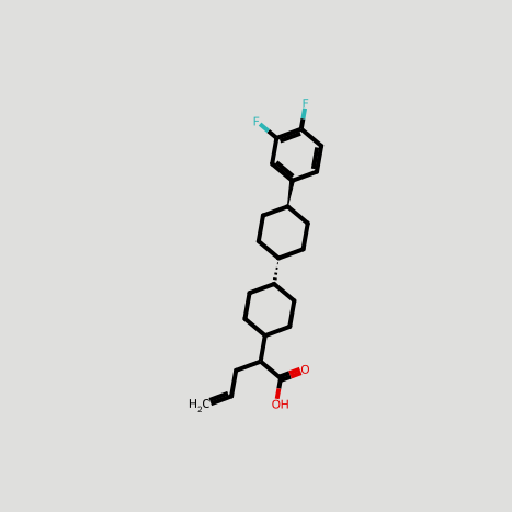 C=CCC(C(=O)O)C1CCC([C@H]2CC[C@H](c3ccc(F)c(F)c3)CC2)CC1